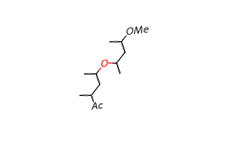 COC(C)CC(C)OC(C)CC(C)C(C)=O